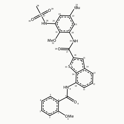 COc1ccccc1C(=O)Nc1cccc2cc(C(=O)Nc3cc(C(C)(C)C)cc(NS(C)(=O)=O)c3OC)sc12